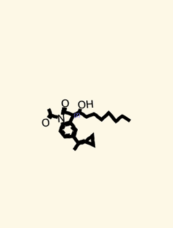 CCCCCCC/C(O)=C1/C(=O)N(C(C)=O)c2ccc(C(C)=C3CC3)cc21